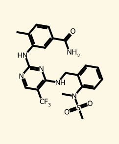 Cc1ccc(C(N)=O)cc1Nc1ncc(C(F)(F)F)c(NCc2ccccc2N(C)S(C)(=O)=O)n1